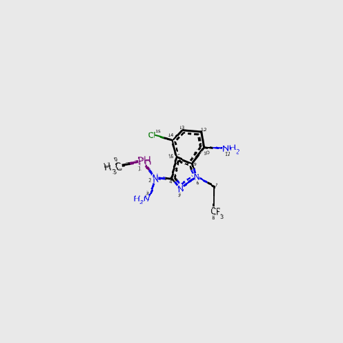 CPN(N)c1nn(CC(F)(F)F)c2c(N)ccc(Cl)c12